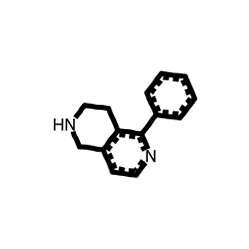 c1ccc(-c2nccc3c2CCNC3)cc1